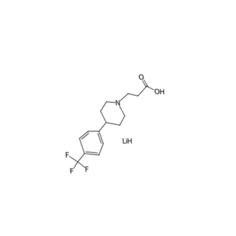 O=C(O)CCN1CCC(c2ccc(C(F)(F)F)cc2)CC1.[LiH]